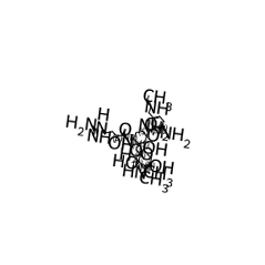 CCNCC1=CC[C@@H](N)[C@@H](OC2[C@@H](N)C[C@@H](NC(=O)[C@@H](O)CCNC(=N)N)[C@H](O[C@H]3OC[C@](C)(O)[C@H](NC)[C@H]3O)[C@H]2O)O1